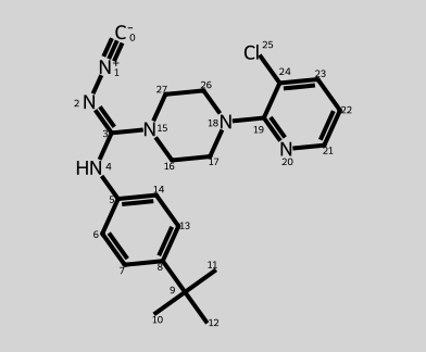 [C-]#[N+]/N=C(/Nc1ccc(C(C)(C)C)cc1)N1CCN(c2ncccc2Cl)CC1